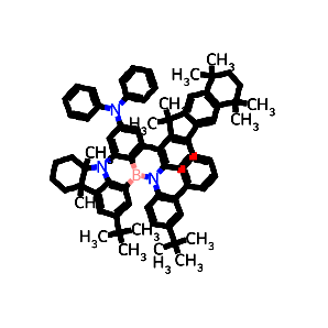 CC(C)(C)c1ccc(N2B3c4cc(C(C)(C)C)cc5c4N(c4cc(N(c6ccccc6)c6ccccc6)cc(c43)-c3c2ccc2c3C(C)(C)c3cc4c(cc3-2)C(C)(C)CCC4(C)C)C2(C)CCCCC52C)c(-c2ccccc2)c1